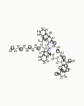 CC[N+]1=C(/C=C/C=C2/N(CCCCCC(=O)ON3C(=O)CCC3=O)c3ccccc3C2(C)CCOCCOCCOCCOC)C(C)(CCOCCOCCOCCOC)c2ccccc21